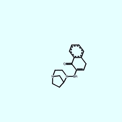 O=C1C(BN2CCN3CCC2C3)=CCc2ccccc21